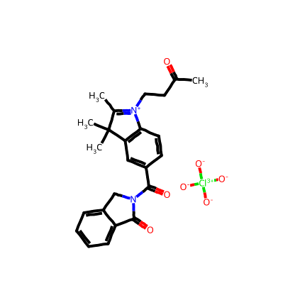 CC(=O)CC[N+]1=C(C)C(C)(C)c2cc(C(=O)N3Cc4ccccc4C3=O)ccc21.[O-][Cl+3]([O-])([O-])[O-]